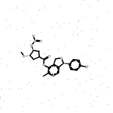 CO[C@H]1CC(C(=O)Oc2c(C)ncc3c2CO[C@H]3c2ccc(Cl)cc2)C[C@@H]1O[N+](=O)[O-]